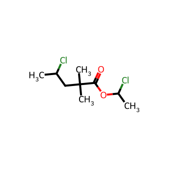 CC(Cl)CC(C)(C)C(=O)OC(C)Cl